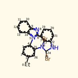 CCc1ccc(-n2c(Br)nc3ccccc32)c(N2c3ccccc3NC2Br)c1